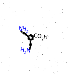 NCC#Cc1cc(C#CCN)cc(C(=O)O)c1